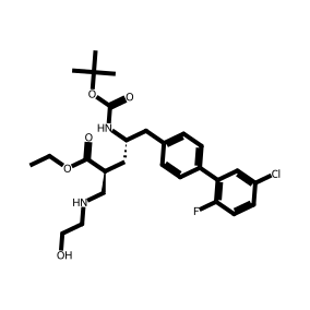 CCOC(=O)[C@H](CNCCO)C[C@@H](Cc1ccc(-c2cc(Cl)ccc2F)cc1)NC(=O)OC(C)(C)C